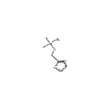 CC(C)(C)[Si](C)(C)OCc1ncco1